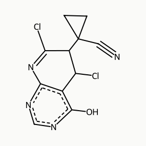 N#CC1(C2C(Cl)=Nc3ncnc(O)c3C2Cl)CC1